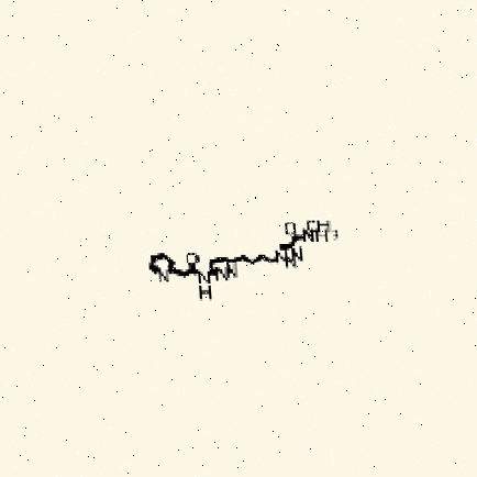 CNC(=O)c1cn(CCCCc2ccc(NC(=O)Cc3ccccn3)nn2)nn1